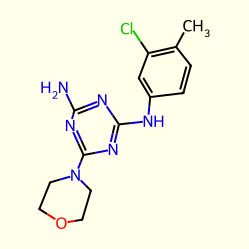 Cc1ccc(Nc2nc(N)nc(N3CCOCC3)n2)cc1Cl